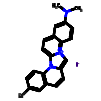 CCc1ccc2c(ccc3c[n+]4c5ccc(N(C)C)cc5ccc4n32)c1.[I-]